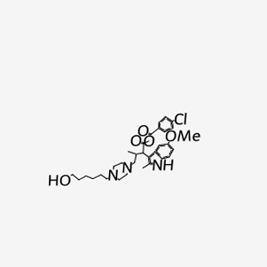 COc1ccc2[nH]c(C)c(C(C(=O)OC(=O)c3ccc(Cl)cc3)C(C)CN3CCN(CCCCCCO)CC3)c2c1